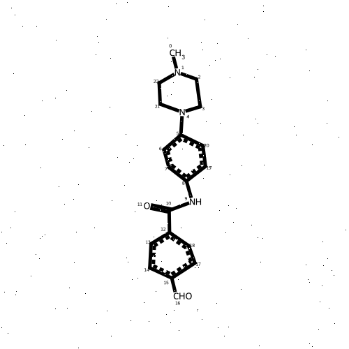 CN1CCN(c2ccc(NC(=O)c3ccc(C=O)cc3)cc2)CC1